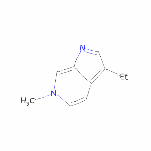 CCc1cnc2cn(C)ccc1-2